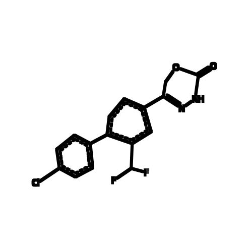 O=C1NN=C(c2ccc(-c3ccc(Cl)cc3)c(C(F)F)c2)CO1